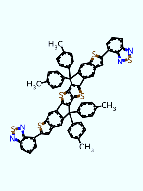 Cc1ccc(C2(c3ccc(C)cc3)c3cc4cc(-c5cccc6nsnc56)sc4cc3-c3sc4c5c(sc4c32)-c2cc3cc(-c4cccc6nsnc46)sc3cc2C5(c2ccc(C)cc2)c2ccc(C)cc2)cc1